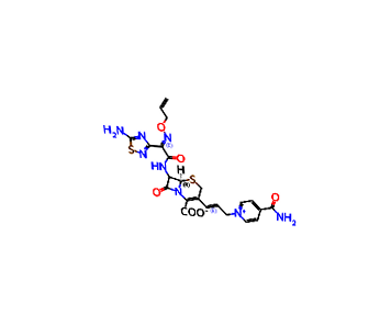 C=CCO/N=C(/C(=O)NC1C(=O)N2C(C(=O)[O-])=C(/C=C/C[n+]3ccc(C(N)=O)cc3)CS[C@H]12)c1nsc(N)n1